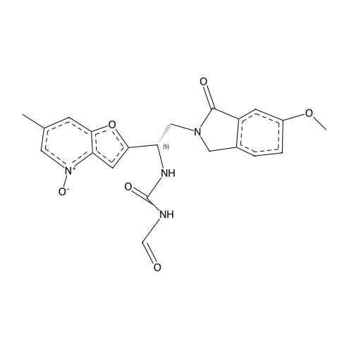 COc1ccc2c(c1)C(=O)N(C[C@H](NC(=O)NC=O)c1cc3c(cc(C)c[n+]3[O-])o1)C2